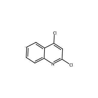 Clc1cc(Cl)c2c[c]ccc2n1